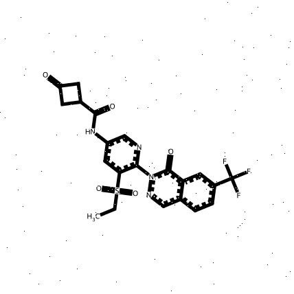 CCS(=O)(=O)c1cc(NC(=O)C2CC(=O)C2)cnc1-n1ncc2ccc(C(F)(F)F)cc2c1=O